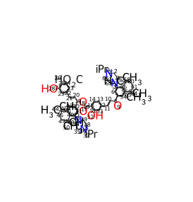 CC(C)N1CCN(c2cc(C(=O)/C=C/c3ccc(C(=O)OC(/C=C/c4ccc(C(=O)O)c(O)c4)c4cc(N5CCN(C(C)C)CC5)c5c(c4)C(C)(C)CCC5(C)C)c(O)c3)cc3c2C(C)(C)CCC3(C)C)CC1